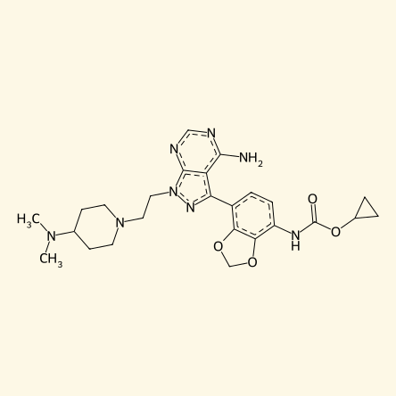 CN(C)C1CCN(CCn2nc(-c3ccc(NC(=O)OC4CC4)c4c3OCO4)c3c(N)ncnc32)CC1